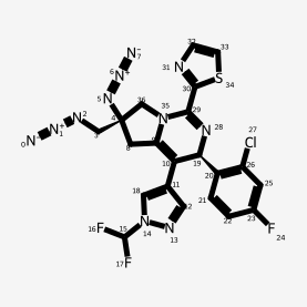 [N-]=[N+]=NC[C@]1(N=[N+]=[N-])CC2=C(c3cnn(C(F)F)c3)[C@H](c3ccc(F)cc3Cl)N=C(c3nccs3)N2C1